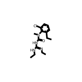 CCN=C(NCC)NC(=O)N(C)c1c(Cl)cccc1CC